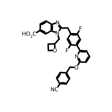 N#Cc1ccc(COc2cccc(-c3cc(F)c(Cc4nc5ccc(C(=O)O)cc5n4CC4CCO4)cc3F)n2)cc1